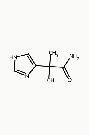 CC(C)(C(N)=O)c1c[nH]cn1